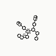 c1ccc(-c2cccc(-c3cc(-c4ccc(C56CC7CC(CC(C7)C5)C6)cc4)cc(-c4nc(-c5ccc(C67CC8CC(CC(C8)C6)C7)cc5)nc(-c5cccc6c5oc5c7ccccc7ccc65)n4)c3)c2)cc1